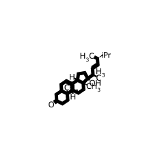 CC(C)[C@@H](C)/C=C/[C@@H](C)[C@@]1(O)CC[C@H]2C3=CCC4CC(=O)CC[C@]4(C)[C@H]3CC[C@@]21C